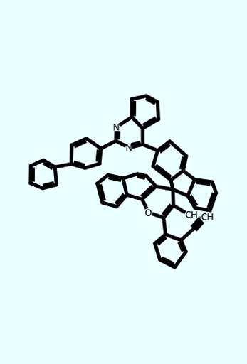 C#Cc1ccccc1C1=C(C)C2(c3ccccc3-c3ccc(-c4nc(-c5ccc(-c6ccccc6)cc5)nc5ccccc45)cc32)c2ccc3ccccc3c2O1